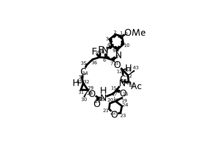 COc1ccc2nc3c(nc2c1)O[C@H]1CN(C(=O)[C@H](C2(C)CCOCC2)NC(=O)O[C@]2(C)C[C@H]2CCCCC3(F)F)[C@H](C(C)=O)[C@@H]1C